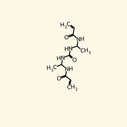 C=CC(=O)NC(C)NC(=O)NC(C)NC(=O)C=C